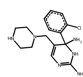 NC1=NC=C(CN2CCNCC2)C(N)(c2ccccc2Cl)N1